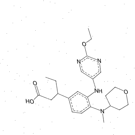 CCOc1ncc(Nc2cc(C(CC)CC(=O)O)ccc2N(C)C2CCOCC2)cn1